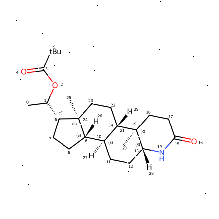 CC(OC(=O)C(C)(C)C)[C@H]1CC[C@H]2[C@@H]3CC[C@H]4NC(=O)CC[C@]4(C)[C@H]3CC[C@]12C